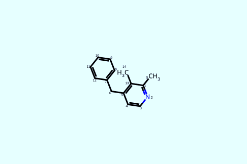 Cc1nccc(Cc2ccccc2)c1C